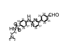 CN(C)CCNS(=O)(=O)c1ccc(Nc2nccc(-c3ccc(C=O)cc3)n2)cc1